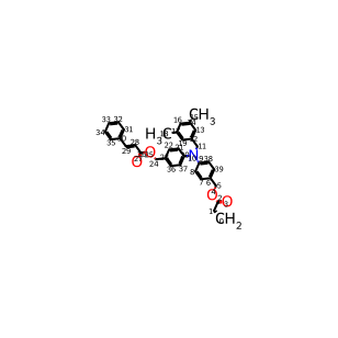 C=CC(=O)OCc1ccc(N(Cc2cc(C)cc(C)c2)c2ccc(COC(=O)C=Cc3ccccc3)cc2)cc1